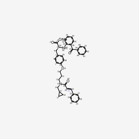 COC(=O)[C@H](Cc1ccc(OCCCN(CC2CC2)C(=O)/C=C/c2ccccc2)cc1)Nc1ccccc1C(=O)c1ccccc1